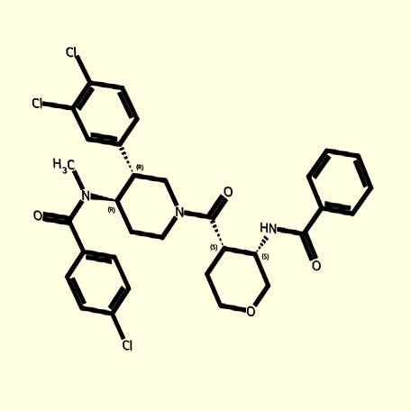 CN(C(=O)c1ccc(Cl)cc1)[C@@H]1CCN(C(=O)[C@H]2CCOC[C@H]2NC(=O)c2ccccc2)C[C@H]1c1ccc(Cl)c(Cl)c1